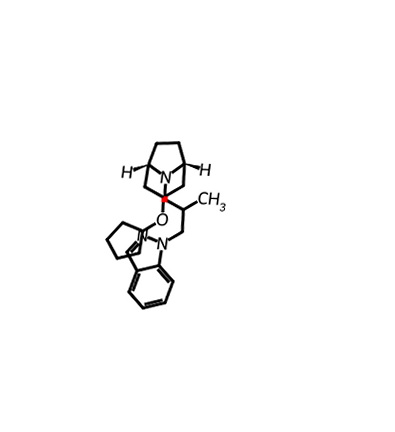 CC(CN1[C@@H]2CC[C@H]1CC(OC1CCCC1)C2)Cn1ncc2ccccc21